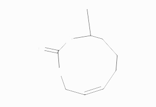 CC1CCC/C=C\CCC(=O)O1